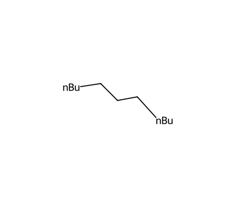 [CH2]CCCCCCCCC[CH2]